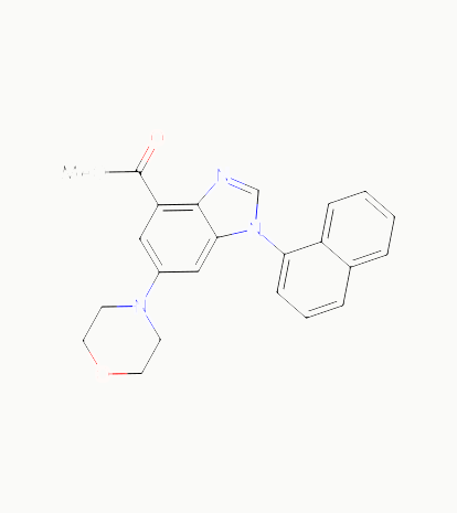 COC(=O)c1cc(N2CCOCC2)cc2c1ncn2-c1cccc2ccccc12